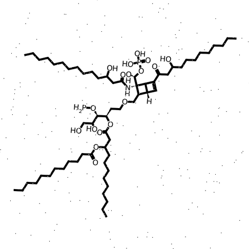 CCCCCCCCCCCC(=O)OC(CCCCCCCCC)CC(=O)O[C@H](CCOCC1[C@H]2C=C(C(=O)CC(O)CCCCCCCCC)C2[C@]1(NC(=O)CC(O)CCCCCCCCCCC)[C@H](O)OP(=O)(O)O)[C@H](OP)C(O)CO